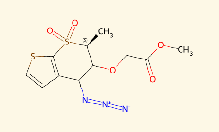 COC(=O)COC1C(N=[N+]=[N-])c2ccsc2S(=O)(=O)[C@H]1C